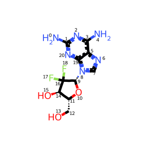 Nc1nc(N)c2ncn([C@@H]3O[C@H](CO)[C@@H](O)C3(F)F)c2n1